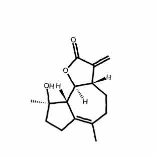 C=C1C(=O)O[C@H]2[C@H]1CCC(C)=C1CC[C@@](C)(O)[C@@H]12